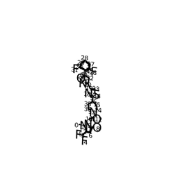 Cn1c(C(F)F)cc(=O)n1CC(=O)N1CCC(c2nc(C3=NOC(c4c(F)cccc4F)C3)cs2)CC1